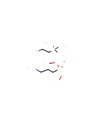 CCCCO[Si](CCCN)(OCCCC)OCCCC.CO[Si](CCN)(OC)OC